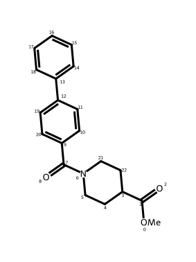 COC(=O)C1CCN(C(=O)c2ccc(-c3ccccc3)cc2)CC1